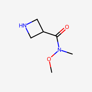 CON(C)C(=O)C1CNC1